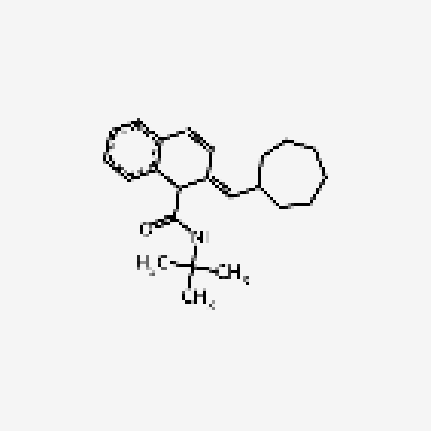 CC(C)(C)NC(=O)C1C(=CC2CCCCCC2)C=Cc2ccccc21